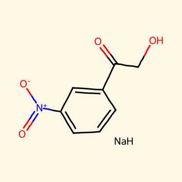 O=C(CO)c1cccc([N+](=O)[O-])c1.[NaH]